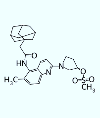 Cc1ccc2nc(N3CC[C@@H](OS(C)(=O)=O)C3)ccc2c1NC(=O)CC12CC3CC(CC(C3)C1)C2